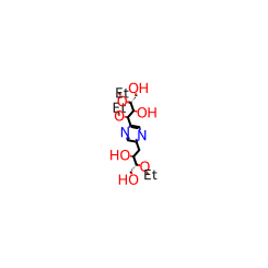 CCO[C@H](c1cnc(C[C@H](O)[C@@H](CO)OCC)cn1)[C@H](O)[C@@H](CO)OCC